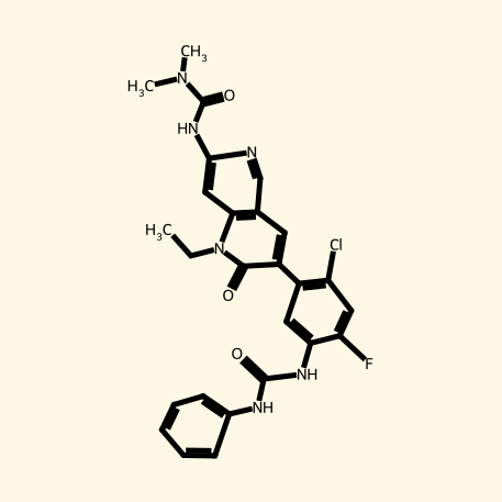 CCn1c(=O)c(-c2cc(NC(=O)Nc3ccccc3)c(F)cc2Cl)cc2cnc(NC(=O)N(C)C)cc21